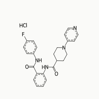 Cl.O=C(Nc1ccc(F)cc1)c1ccccc1NC(=O)C1CCN(c2ccncc2)CC1